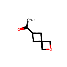 COC(=O)C1CC2(COC2)C1